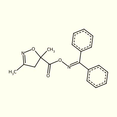 CC1=NOC(C)(C(=O)ON=C(c2ccccc2)c2ccccc2)C1